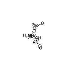 COCCCOc1cc(CC(C[C@H](NC(=O)[C@@H](N)C(C)C)C(O)CC(C(=O)NCC2CCOCC2)C(C)C)C(C)C)ccc1OC